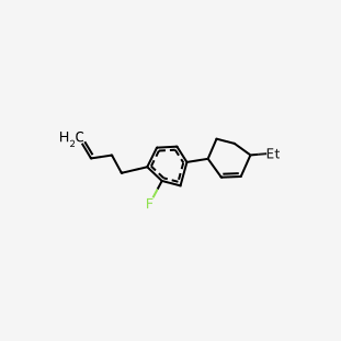 C=CCCc1ccc(C2C=CC(CC)CC2)cc1F